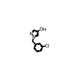 Oc1cnn(Cc2cccc(Cl)c2)c1